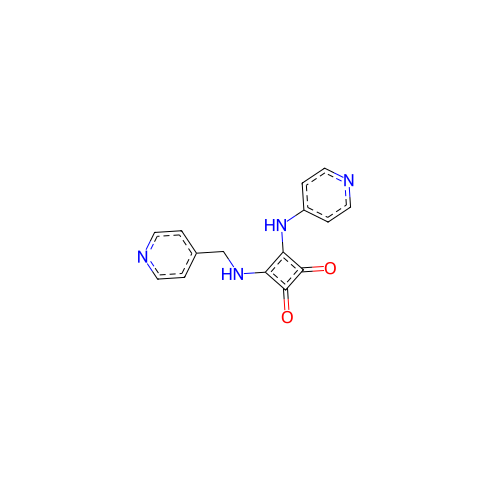 O=c1c(NCc2ccncc2)c(Nc2ccncc2)c1=O